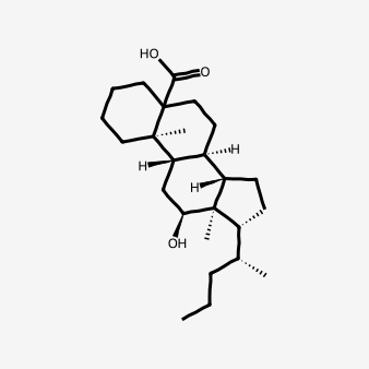 CCC[C@@H](C)[C@H]1CC[C@H]2[C@@H]3CCC4(C(=O)O)CCCC[C@]4(C)[C@H]3C[C@H](O)[C@]12C